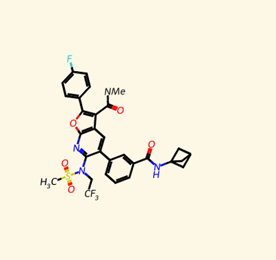 CNC(=O)c1c(-c2ccc(F)cc2)oc2nc(N(CC(F)(F)F)S(C)(=O)=O)c(-c3cccc(C(=O)NC45CC(C4)C5)c3)cc12